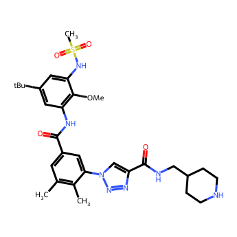 COc1c(NC(=O)c2cc(C)c(C)c(-n3cc(C(=O)NCC4CCNCC4)nn3)c2)cc(C(C)(C)C)cc1NS(C)(=O)=O